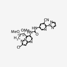 CO[C@@H](C)[C@H](OC)c1c(NC(=O)Nc2cnc(-n3nccn3)c(C#N)c2)cnc2cc(Cl)nn12